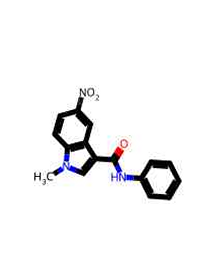 Cn1cc(C(=O)Nc2ccccc2)c2cc([N+](=O)[O-])ccc21